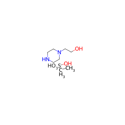 CC.O=S(=O)(O)O.OCCN1CCNCC1